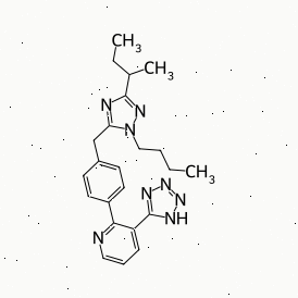 CCCCn1nc(C(C)CC)nc1Cc1ccc(-c2ncccc2-c2nnn[nH]2)cc1